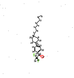 CCCCCCCCC1CCC(c2ccc(C(=O)C(C)(F)F)cc2)CC1